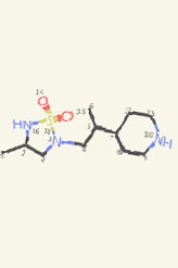 CC1CN(CC(C)C2CCNCC2)S(=O)(=O)N1